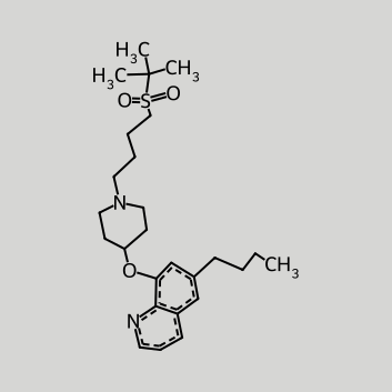 CCCCc1cc(OC2CCN(CCCCS(=O)(=O)C(C)(C)C)CC2)c2ncccc2c1